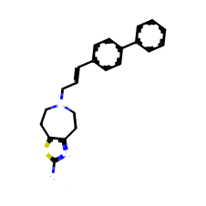 Nc1nc2c(s1)CCN(CC=Cc1ccc(-c3ccccc3)cc1)CC2